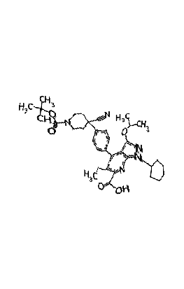 CCc1c(C(=O)O)nc2c(c(OC(C)C)nn2C2CCCCC2)c1-c1ccc(C2(C#N)CCN(C(=O)OC(C)(C)C)CC2)cc1